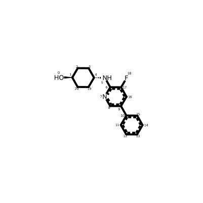 O[C@H]1CC[C@H](Nc2ncc(-c3ccccc3)cc2F)CC1